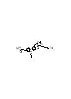 CCCCCCCC(=O)N(C)Cc1cccc(-c2ccc(CCC(=O)O)cc2OCCCCl)c1